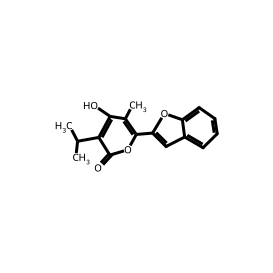 Cc1c(-c2cc3ccccc3o2)oc(=O)c(C(C)C)c1O